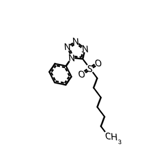 CCCCCCCS(=O)(=O)c1nnnn1-c1ccccc1